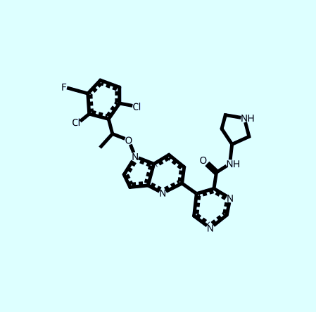 CC(On1ccc2nc(-c3cncnc3C(=O)NC3CCNC3)ccc21)c1c(Cl)ccc(F)c1Cl